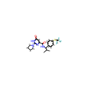 CC(C)[C@@H](NC(=O)c1cc(=O)[nH]c(N2CCCC2)n1)c1ccc(SC(F)(F)F)cc1